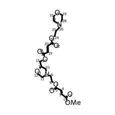 COC(=O)/C=C/C(=O)OCCN1CCOC(COC(=O)/C=C/C(=O)OCCCN2CCOCC2)C1